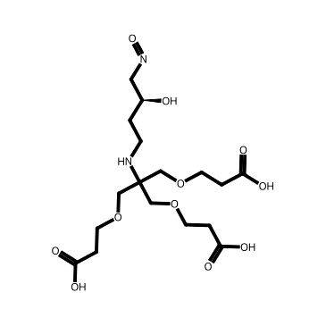 O=NC[C@@H](O)CCNC(COCCC(=O)O)(COCCC(=O)O)COCCC(=O)O